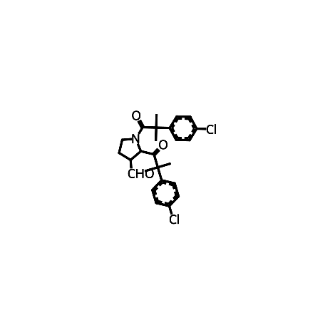 CC(C)(C(=O)C1C(C=O)CCN1C(=O)C(C)(C)c1ccc(Cl)cc1)c1ccc(Cl)cc1